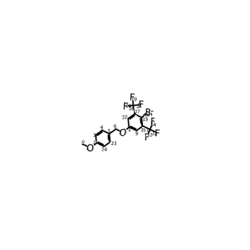 COc1ccc(COc2cc(C(F)(F)F)c(Br)c(C(F)(F)F)c2)cc1